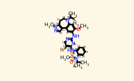 COc1cc2c(cc1Nc1ncc(Br)c(Nc3ccccc3N(C(C)C)S(C)(=O)=O)n1)-c1cnn(C)c1CCN2C(C)C